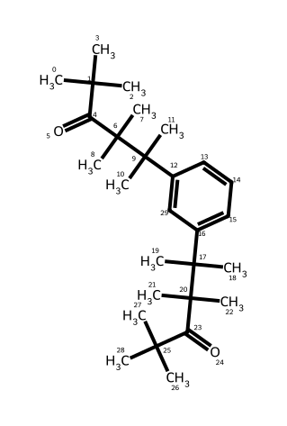 CC(C)(C)C(=O)C(C)(C)C(C)(C)c1cccc(C(C)(C)C(C)(C)C(=O)C(C)(C)C)c1